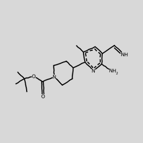 Cc1cc(C=N)c(N)nc1C1CCN(C(=O)OC(C)(C)C)CC1